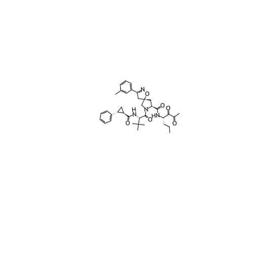 CCC[C@H](NC(=O)[C@@H]1C[C@]2(CC(c3cccc(C)c3)=NO2)CN1C(=O)[C@@H](NC(=O)[C@@H]1C[C@H]1c1ccccc1)C(C)(C)C)C(=O)C(C)=O